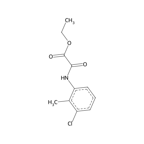 CCOC(=O)C(=O)Nc1cccc(Cl)c1C